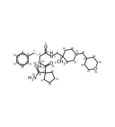 CC1(CNC(=O)[C@@H](Cc2ccccc2)NC(=O)C2(C(N)=O)CCCC2)CCN(CC2CCOCC2)CC1